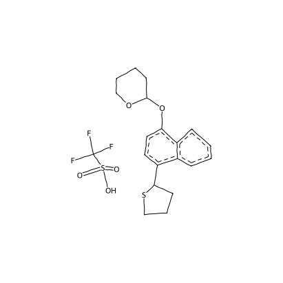 O=S(=O)(O)C(F)(F)F.c1ccc2c(C3CCCS3)ccc(OC3CCCCO3)c2c1